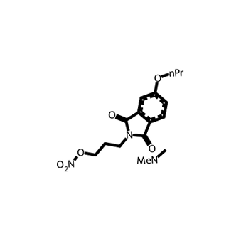 CCCOc1ccc2c(c1)C(=O)N(CCCO[N+](=O)[O-])C2=O.CNC